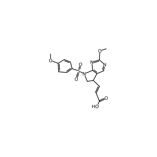 COc1ccc(S(=O)(=O)N2CC(/C=C/C(=O)O)c3cnc(OC)nc32)cc1